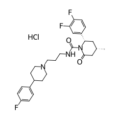 C[C@@H]1CC(=O)N(C(=O)NCCCN2CCC(c3ccc(F)cc3)CC2)[C@H](c2ccc(F)c(F)c2)C1.Cl